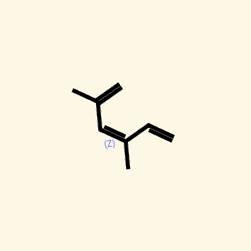 C=C/C(C)=C\C(=C)C